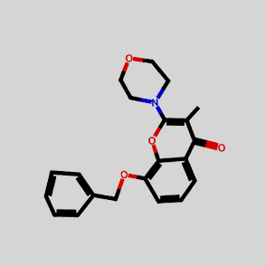 Cc1c(N2CCOCC2)oc2c(OCc3ccccc3)cccc2c1=O